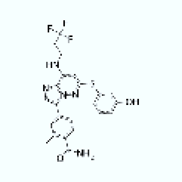 Cc1cc(-c2cnc3c(NCCC(F)(F)F)cc(Sc4cccc(O)c4)nn23)ccc1C(N)=O